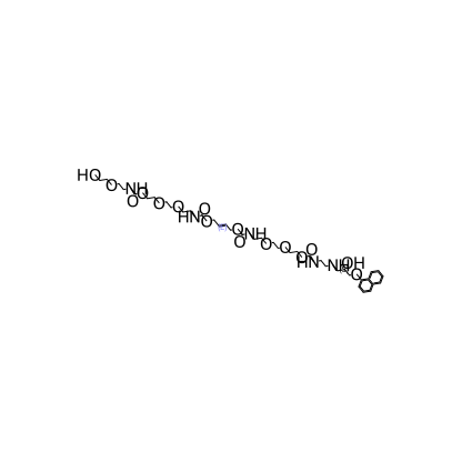 O=C(NCCOCCOCCOC(=O)NCCNC[C@H](O)COc1cccc2ccccc12)OC/C=C/COC(=O)NCCOCCOCCOC(=O)NCCOCCO